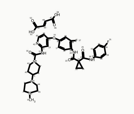 CN1CCN(C2CCN(C(=O)Nc3cc(Oc4ccc(NC(=O)C5(C(=O)Nc6ccc(F)cc6)CC5)c(F)c4)ccn3)CC2)CC1.O=C(O)C=CC(=O)O